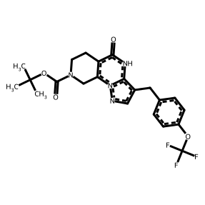 CC(C)(C)OC(=O)N1CCc2c(n3ncc(Cc4ccc(OC(F)(F)F)cc4)c3[nH]c2=O)C1